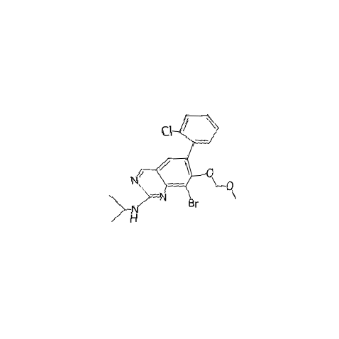 COCOc1c(-c2ccccc2Cl)cc2cnc(NC(C)C)nc2c1Br